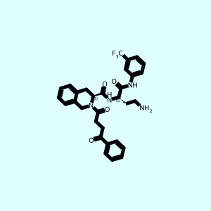 NCC[C@H](NC(=O)[C@@H]1Cc2ccccc2CN1C(=O)CCC(=O)c1ccccc1)C(=O)Nc1cccc(C(F)(F)F)c1